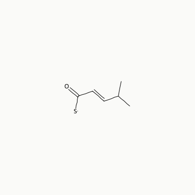 CC(C)/C=C/C(=O)[S]